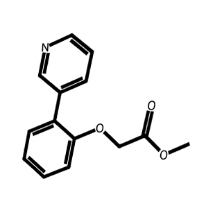 COC(=O)COc1ccccc1-c1cccnc1